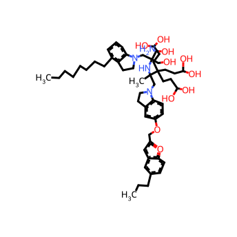 CCCCCCCCc1cccc2c1CCN2CC(CO)(NC(C)(CN1CCc2cc(OCc3cc4cc(CCC)ccc4o3)ccc21)C(CCC(O)O)(CCC(O)O)CCC(O)O)C(N)O